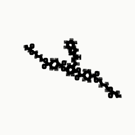 C=CC(=O)OCCCCOC(=O)C1CCC(C(=O)Oc2ccc(OC(=O)C3CCC(C(=O)OCCCCOC(=O)C=C)CC3)c(/C=N/Nc3cc4ccccc4s3)c2)CC1